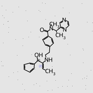 C/C=C(\NCCc1ccc(C(=O)N(C)C(C)c2cnccn2)cc1)[C@H](O)c1ccccc1